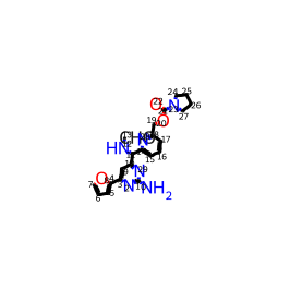 Nc1nc(-c2ccco2)cc(C(NC=O)c2cccc(COC(=O)N3CCCC3)n2)n1